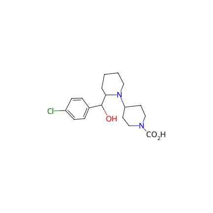 O=C(O)N1CCC(N2CCCCC2C(O)c2ccc(Cl)cc2)CC1